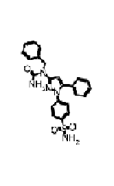 NC(=O)N(Cc1ccccc1)c1cc(-c2ccccc2)n(-c2ccc(S(N)(=O)=O)cc2)n1